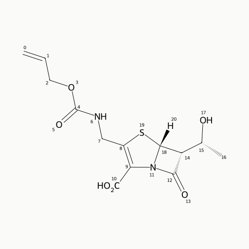 C=CCOC(=O)NCC1=C(C(=O)O)N2C(=O)[C@@H]([C@@H](C)O)[C@H]2S1